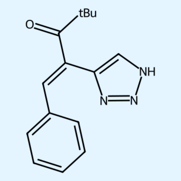 CC(C)(C)C(=O)C(=Cc1ccccc1)c1c[nH]nn1